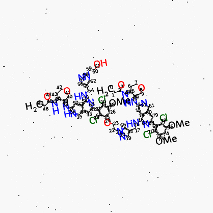 C=CC(=O)N[C@H]1CCOC[C@H]1Nc1cc2c(NCc3cnn(CCOc4cc(OC)c(Cl)c(-c5cc6cnc(N[C@@H]7COCC[C@@H]7NC(=O)C=C)cc6c(NCc6cnn(CCO)c6)n5)c4Cl)c3)nc(-c3c(Cl)c(OC)cc(OC)c3Cl)cc2cn1